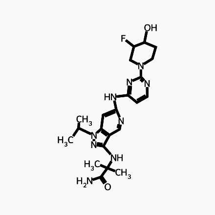 CC(C)n1nc(NC(C)(C)C(N)=O)c2cnc(Nc3ccnc(N4CCC(O)C(F)C4)n3)cc21